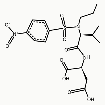 CCCN([C@H](C(=O)N[C@@H](CC(=O)O)C(=O)O)C(C)C)S(=O)(=O)c1ccc([N+](=O)[O-])cc1